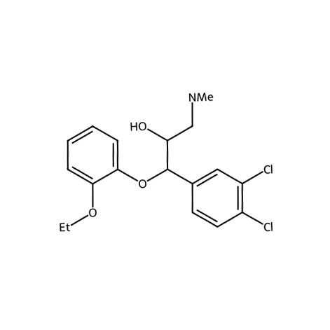 CCOc1ccccc1OC(c1ccc(Cl)c(Cl)c1)C(O)CNC